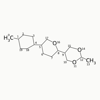 CC1CCC(C2CCC(C3COC(C)OC3)OC2)CC1